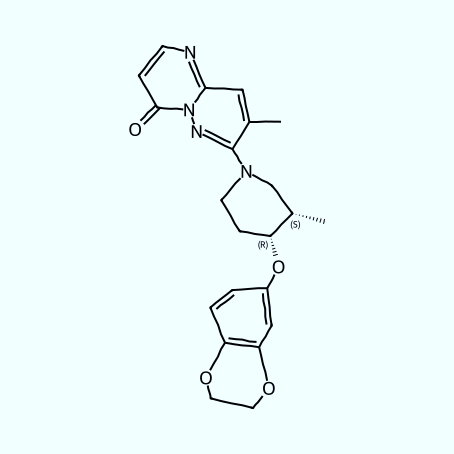 Cc1cc2nccc(=O)n2nc1N1CC[C@@H](Oc2ccc3c(c2)OCCO3)[C@@H](C)C1